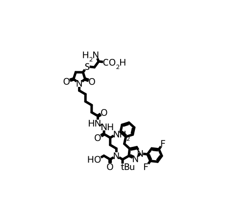 CC(C)(C)C(c1nn(-c2cc(F)ccc2F)cc1Cc1ccccc1)N(CCC(N)C(=O)NNC(=O)CCCCCN1C(=O)CC(SCC(N)C(=O)O)C1=O)C(=O)CO